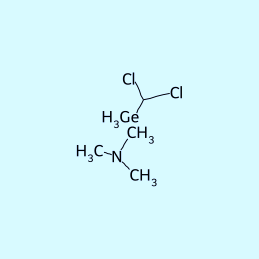 CN(C)C.Cl[CH](Cl)[GeH3]